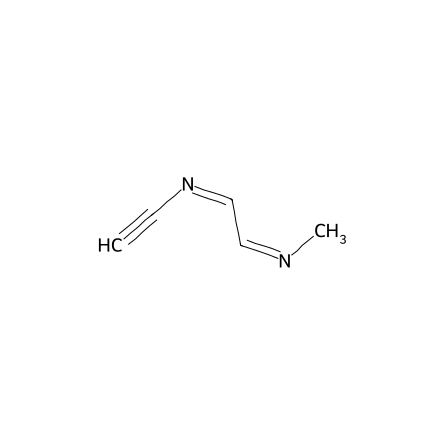 C#C/N=C\C=N/C